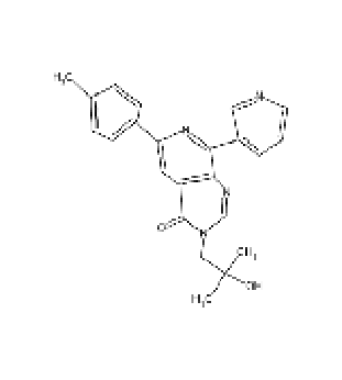 Cc1ccc(-c2cc3c(=O)n(CC(C)(C)O)cnc3c(-c3cccnc3)n2)cc1